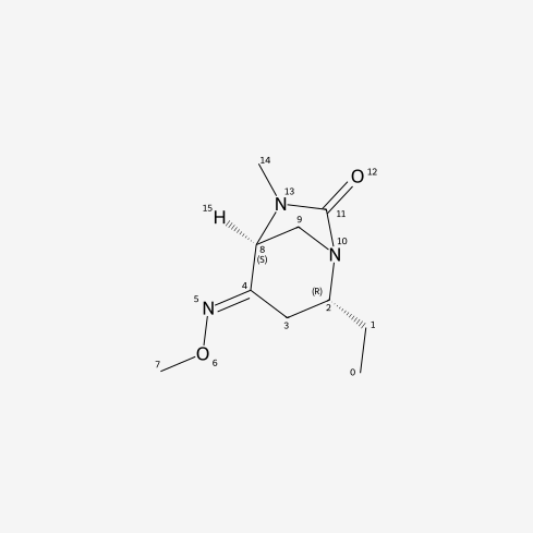 CC[C@@H]1CC(=NOC)[C@@H]2CN1C(=O)N2C